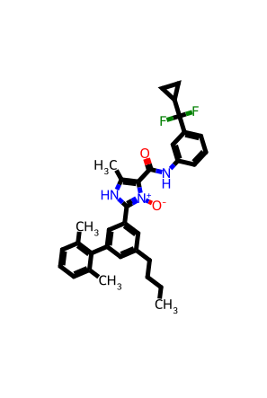 CCCCc1cc(-c2c(C)cccc2C)cc(-c2[nH]c(C)c(C(=O)Nc3cccc(C(F)(F)C4CC4)c3)[n+]2[O-])c1